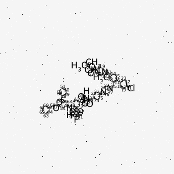 CC(C)(C)OC(=O)N1CCN(C[C@]2(C)CCC(c3ccc(Cl)cc3)=C(CN3CCN(c4ccc(C(=O)NS(=O)(=O)c5ccc(N[C@@H](CSc6ccccc6)CC(=O)OCc6ccccc6)c(S(=O)(=O)C(F)(F)F)c5)cc4)CC3)C2)CC1